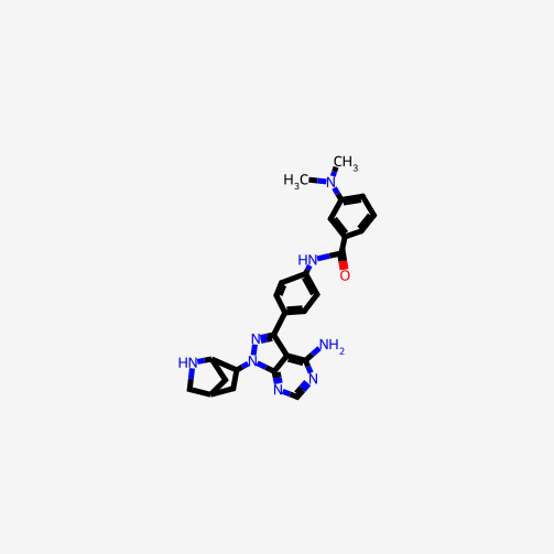 CN(C)c1cccc(C(=O)Nc2ccc(-c3nn(C4CC5CNC4C5)c4ncnc(N)c34)cc2)c1